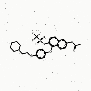 CC(=O)Oc1ccc2c(Oc3ccc(OCCN4CCCCC4)cc3)c(OS(=O)(=O)C(F)(F)F)ccc2c1